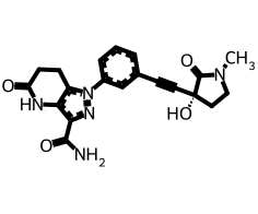 CN1CC[C@@](O)(C#Cc2cccc(-n3nc(C(N)=O)c4c3CCC(=O)N4)c2)C1=O